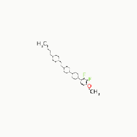 C/C=C/CCC1CCC(CCC2CCC(C3CCC(c4ccc(OCC)c(F)c4F)CC3)CC2)CC1